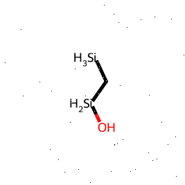 O[SiH2]C[SiH3]